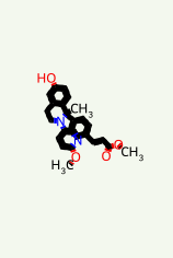 COC(=O)/C=C/c1ccc(C2(C)c3ccc(O)cc3CCN2c2ccc(OC)nc2)cc1